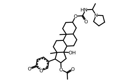 CC(=O)OC1CC2(O)C3CCC4CC(OC(=O)NC(C)N5CCCC5)CCC4(C)C3CCC2(C)C1c1ccc(=O)oc1